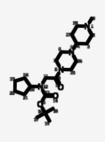 CN1CCC(N2CCN(C(=O)CN(C(=O)OC(C)(C)C)C3CCCC3)CC2)CC1